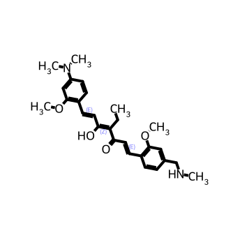 CC/C(C(=O)/C=C/c1ccc(CNC)cc1OC)=C(O)\C=C\c1ccc(N(C)C)cc1OC